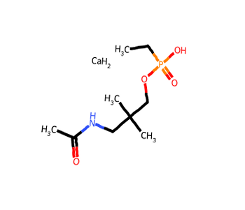 CCP(=O)(O)OCC(C)(C)CNC(C)=O.[CaH2]